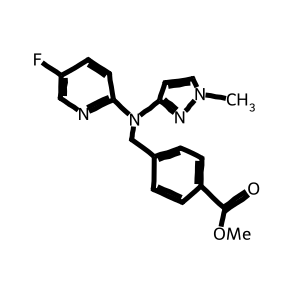 COC(=O)c1ccc(CN(c2ccc(F)cn2)c2ccn(C)n2)cc1